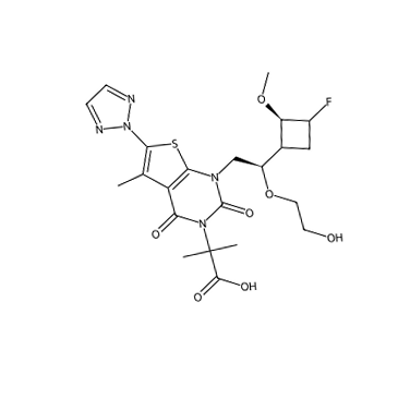 CO[C@H]1C(F)CC1[C@H](Cn1c(=O)n(C(C)(C)C(=O)O)c(=O)c2c(C)c(-n3nccn3)sc21)OCCO